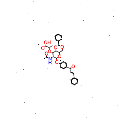 CC(=O)NC1C(Oc2ccc(C(=O)/C=C/c3ccccc3)cc2)OC2COC(c3ccccc3)OC2C1OC(C)C(=O)O